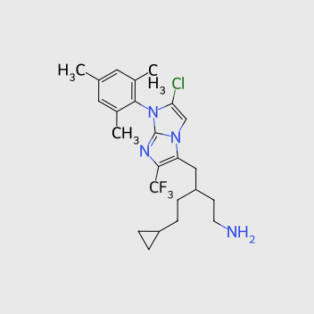 Cc1cc(C)c(-n2c(Cl)cn3c(CC(CCN)CCC4CC4)c(C(F)(F)F)nc23)c(C)c1